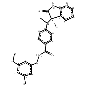 CCc1cc(CNC(=O)c2ccc(C(C)[C@@]3(C)C(=O)Nc4ncccc43)cc2)cc(C)n1